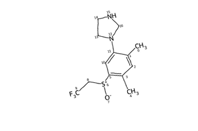 Cc1cc(C)c([S+]([O-])CC(F)(F)F)cc1N1CCNC1